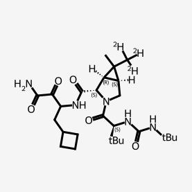 [2H]C([2H])([2H])C1(C)[C@@H]2[C@@H](C(=O)NC(CC3CCC3)C(=O)C(N)=O)N(C(=O)[C@@H](NC(=O)NC(C)(C)C)C(C)(C)C)C[C@@H]21